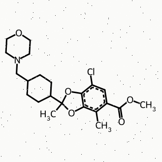 COC(=O)c1cc(Cl)c2c(c1C)OC(C)(C1CCC(CN3CCOCC3)CC1)O2